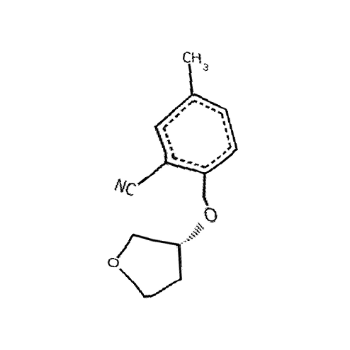 Cc1ccc(O[C@@H]2CCOC2)c(C#N)c1